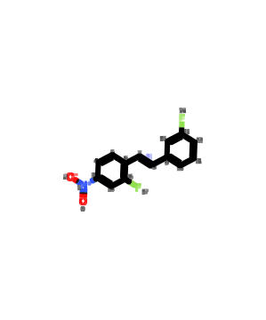 O=[N+]([O-])c1ccc(/C=C/c2cccc(F)c2)c(F)c1